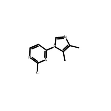 Cc1ncn(-c2ccnc(Cl)n2)c1C